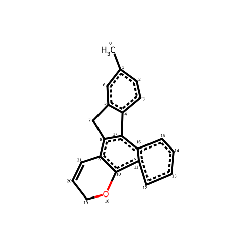 Cc1ccc2c(c1)Cc1c3c(c4ccccc4c1-2)OCC=C3